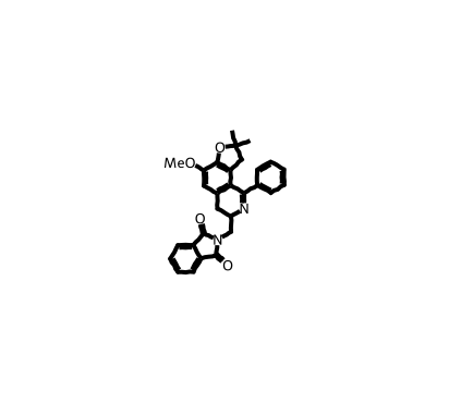 COc1cc2c(c3c1OC(C)(C)C3)C(c1ccccc1)=NC(CN1C(=O)c3ccccc3C1=O)C2